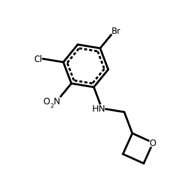 O=[N+]([O-])c1c(Cl)cc(Br)cc1NCC1CCO1